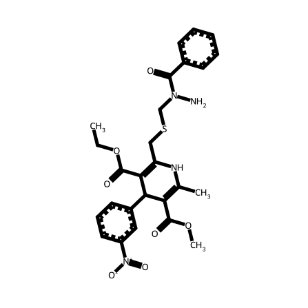 CCOC(=O)C1=C(CSCN(N)C(=O)c2ccccc2)NC(C)=C(C(=O)OC)C1c1cccc([N+](=O)[O-])c1